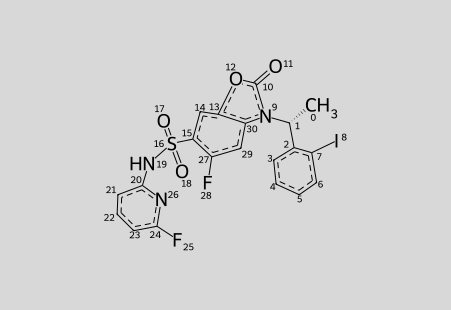 C[C@H](c1ccccc1I)n1c(=O)oc2cc(S(=O)(=O)Nc3cccc(F)n3)c(F)cc21